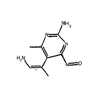 C/C(=C/N)c1c(C)nc(N)nc1N=O